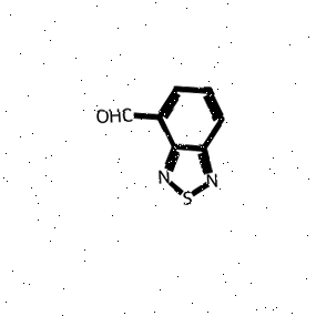 O=Cc1cccc2nsnc12